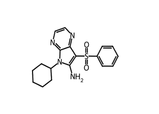 Nc1c(S(=O)(=O)c2ccccc2)c2nccnc2n1C1CCCCC1